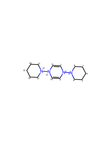 C1=CN(N2CCCCC2)C=CN1N1CCCCC1